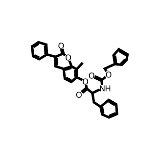 Cc1c(OC(=O)C(Cc2ccccc2)NC(=O)OCc2ccccc2)ccc2cc(-c3ccccc3)c(=O)oc12